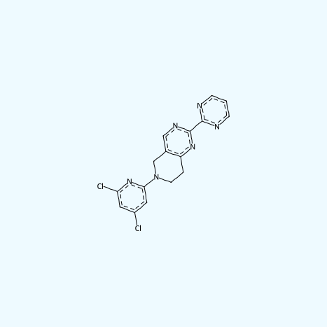 Clc1cc(Cl)nc(N2CCc3nc(-c4ncccn4)ncc3C2)c1